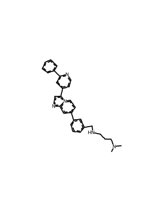 CN(C)CCCNCc1cccc(-c2ccn3c(-c4ccnc(-c5ccccc5)c4)cnc3c2)c1